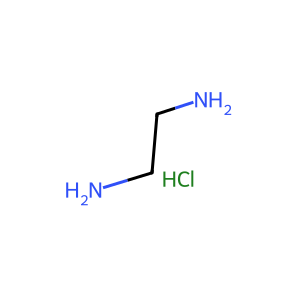 Cl.NCCN